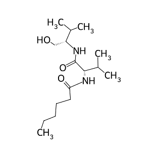 CCCCCC(=O)N[C@H](C(=O)N[C@H](CO)C(C)C)C(C)C